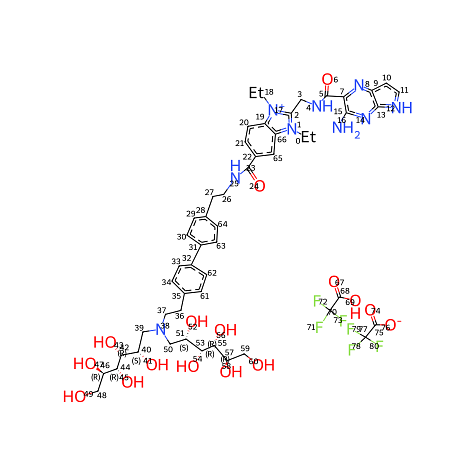 CCn1c(CNC(=O)c2nc3cc[nH]c3nc2N)[n+](CC)c2ccc(C(=O)NCCc3ccc(-c4ccc(CCN(C[C@H](O)[C@@H](O)[C@H](O)[C@H](O)CO)C[C@H](O)[C@@H](O)[C@H](O)[C@H](O)CO)cc4)cc3)cc21.O=C(O)C(F)(F)F.O=C([O-])C(F)(F)F